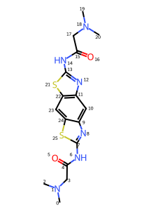 CN(C)CC(=O)Nc1nc2cc3nc(NC(=O)CN(C)C)sc3cc2s1